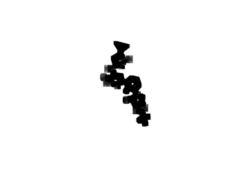 Cc1c(-c2cc(Nc3cc(C4CC4)[nH]n3)c(=O)[nH]n2)cccc1N1Cc2nc(C(C)(C)C)sc2C1=O